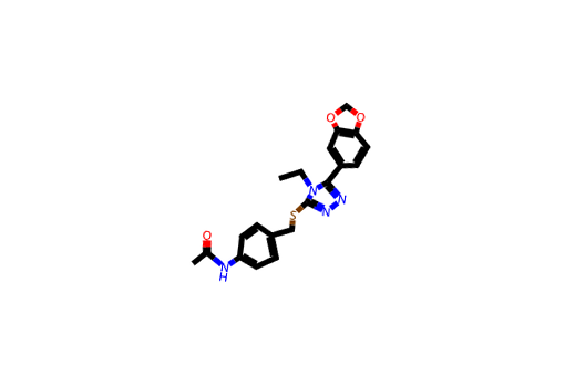 CCn1c(SCc2ccc(NC(C)=O)cc2)nnc1-c1ccc2c(c1)OCO2